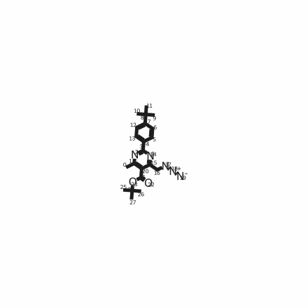 Cc1nc(-c2ccc(C(C)(C)C)cc2)nc(CN=[N+]=[N-])c1C(=O)OC(C)(C)C